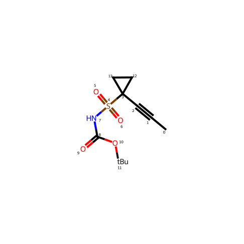 CC#CC1(S(=O)(=O)NC(=O)OC(C)(C)C)CC1